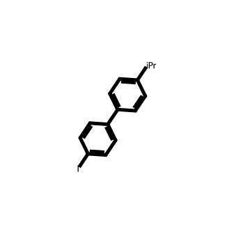 CC(C)c1ccc(-c2ccc(I)cc2)cc1